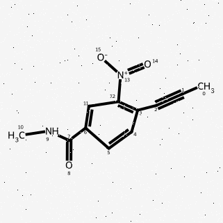 CC#Cc1ccc(C(=O)NC)cc1[N+](=O)[O-]